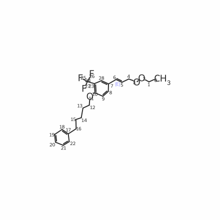 CCOOC/C=C/c1ccc(OCCCCCc2ccccc2)c(C(F)(F)F)c1